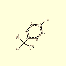 CC(C)C(C)(C#N)c1ccc(Cl)nc1